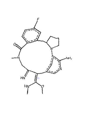 CN/C(OC)=C1\C(=N)CN(C)C(=O)c2ccc(F)cc2C2CCCN2c2cc1cnc2N